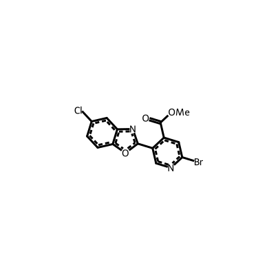 COC(=O)c1cc(Br)ncc1-c1nc2cc(Cl)ccc2o1